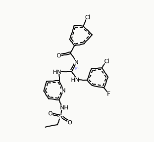 CCS(=O)(=O)Nc1cccc(N/C(=N\C(=O)c2ccc(Cl)cc2)Nc2cc(F)cc(Cl)c2)n1